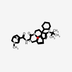 CN1CC2CCC1C(C(=O)N[C@H](Cc1ccc(F)cc1)C(=O)N1CCC(C(=O)NC(C)(C)C)(C3CCCCC3)CC1)C2